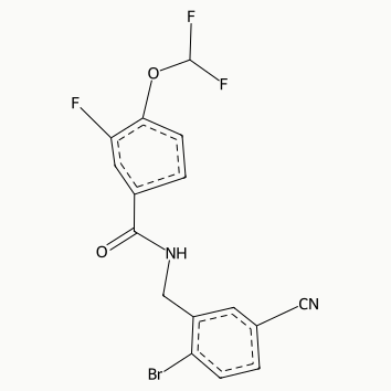 N#Cc1ccc(Br)c(CNC(=O)c2ccc(OC(F)F)c(F)c2)c1